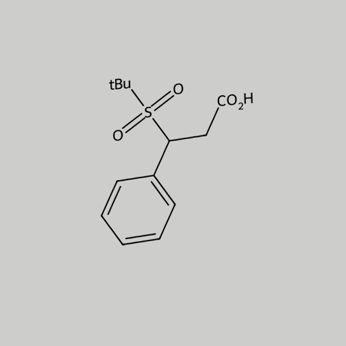 CC(C)(C)S(=O)(=O)C(CC(=O)O)c1ccccc1